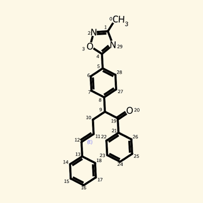 Cc1noc(-c2ccc(C(C/C=C/c3ccccc3)C(=O)c3ccccc3)cc2)n1